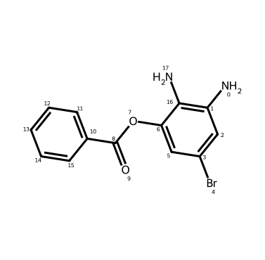 Nc1cc(Br)cc(OC(=O)c2ccccc2)c1N